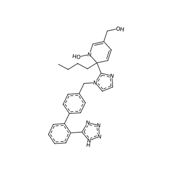 CCCCC1(c2nccn2Cc2ccc(-c3ccccc3-c3nnn[nH]3)cc2)C=CC(CO)=CN1O